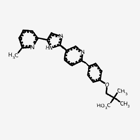 Cc1cccc(-c2cnc(-c3ccc(-c4ccc(OCC(C)(C)C(=O)O)cc4)nc3)[nH]2)n1